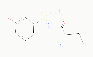 CC(C)C[C@H](N)C(=O)N=S(N)(=O)c1cccc(Br)c1